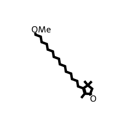 COCCCCCCCCCCCCCCCC1=C(C)C(=O)CC1(C)C